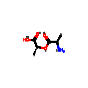 C[C@@H](N)C(=O)O[C@H](C)C(=O)O